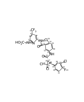 O=C(O)Nc1cc(C(F)(F)F)cc(NC(=O)c2cc(NC(=O)[C@@H]3[C@@H](c4ccc(F)c(Cl)c4)C3(Cl)Cl)ccc2Cl)n1